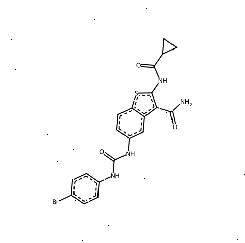 NC(=O)c1c(NC(=O)C2CC2)sc2ccc(NC(=O)Nc3ccc(Br)cc3)cc12